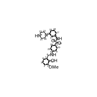 COc1cccc(CNc2ccc(S(=O)(=O)Nc3cccc(N4CCNCC4)c3)cc2)c1O